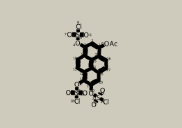 CC(=O)Oc1cc(OS(=O)(=O)Cl)c2ccc3c(OS(=O)(=O)Cl)c(OS(=O)(=O)Cl)cc4ccc1c2c43